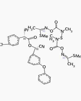 CC(C)[C@H](C(=O)O[C@H](C#N)c1cccc(Oc2ccccc2)c1)c1ccc(Cl)cc1.CS/C(C)=N\OC(=O)N(C)SN(C)C(=O)O/N=C(/C)SC